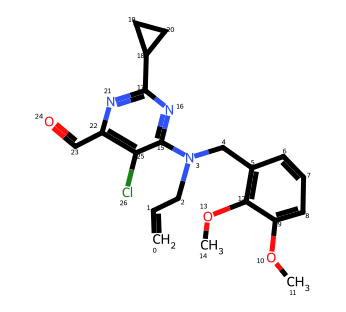 C=CCN(Cc1cccc(OC)c1OC)c1nc(C2CC2)nc(C=O)c1Cl